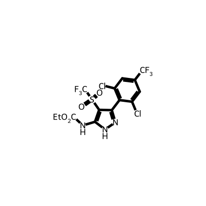 CCOC(=O)Nc1[nH]nc(-c2c(Cl)cc(C(F)(F)F)cc2Cl)c1S(=O)(=O)C(F)(F)F